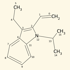 C=Cc1c(CC)c2ccccc2n1C(C)C